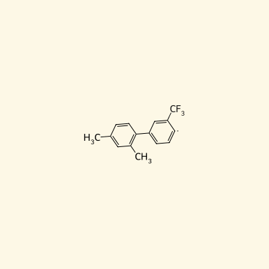 Cc1ccc(-c2cc[c]c(C(F)(F)F)c2)c(C)c1